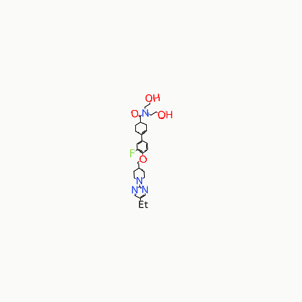 CCc1cnc(N2CCC(COc3ccc(C4=CCC(C(=O)N(CCO)CCO)CC4)cc3F)CC2)nc1